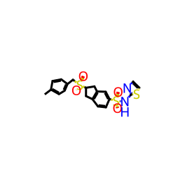 Cc1ccc(CS(=O)(=O)C2Cc3ccc(S(=O)(=O)Nc4nccs4)cc3C2)cc1